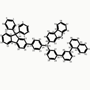 c1ccc(C2(c3ccccc3)c3ccccc3-c3ccc(-c4ccc(N(c5cccc(-c6cccc(-c7cccc8ccccc78)c6)c5)c5ccc6c(c5)sc5ccccc56)cc4)cc32)cc1